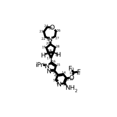 CC(C)n1nc(-c2cnc(N)c(OC(F)F)c2)cc1[C@H]1[C@@H]2CC(N3CCCOCC3)C[C@@H]21